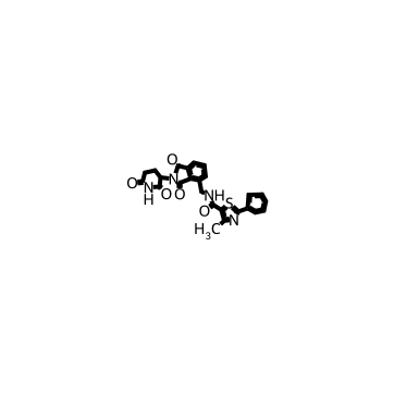 Cc1nc(-c2ccccc2)sc1C(=O)NCc1cccc2c1C(=O)N(C1CCC(=O)NC1=O)C2=O